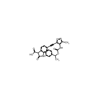 Cc1noc(C#Cc2ccc3c(c2)NC(=O)C3C(=O)O)c1NC(=O)OC(C)c1ccccc1